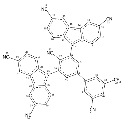 N#Cc1cc(-c2cc(-n3c4ccc(C#N)cc4c4cc(C#N)ccc43)c(C#N)c(-n3c4ccc(C#N)cc4c4cc(C#N)ccc43)c2)cc(C(F)(F)F)c1